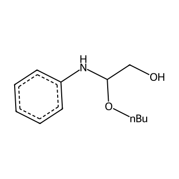 CCCCOC(CO)Nc1ccccc1